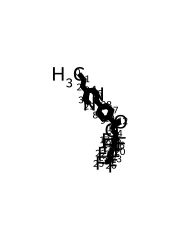 CCCc1cnc(-c2ccc(C(=O)OCC(F)(F)C(F)(F)C(F)(F)C(F)F)cc2)nc1